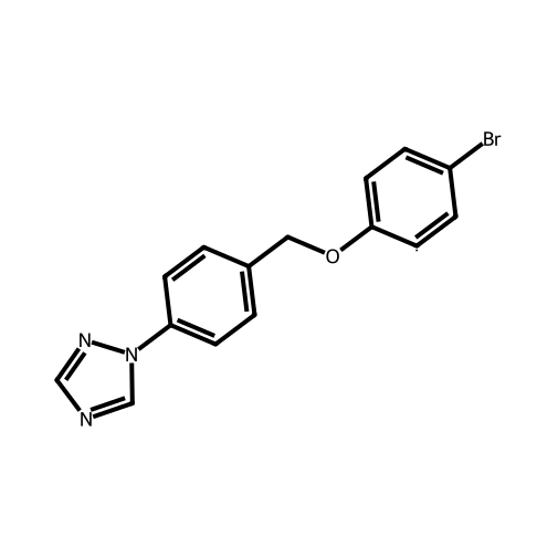 Brc1c[c]c(OCc2ccc(-n3cncn3)cc2)cc1